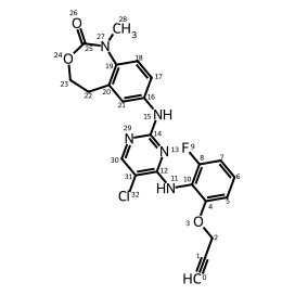 C#CCOc1cccc(F)c1Nc1nc(Nc2ccc3c(c2)CCOC(=O)N3C)ncc1Cl